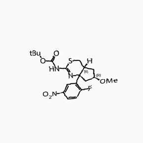 CO[C@@H]1C[C@H]2CSC(NC(=O)OC(C)(C)C)=NC2(c2cc([N+](=O)[O-])ccc2F)C1